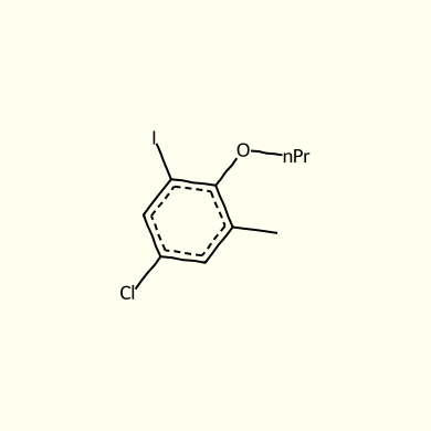 CCCOc1c(C)cc(Cl)cc1I